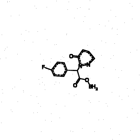 BOC(=O)C(c1ccc(F)cc1)n1ncccc1=O